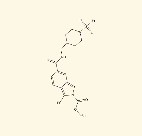 CCS(=O)(=O)N1CCC(CNC(=O)c2ccc3c(C(C)C)n(C(=O)OC(C)(C)C)cc3c2)CC1